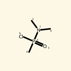 CN(C)P(C)(=O)Cl